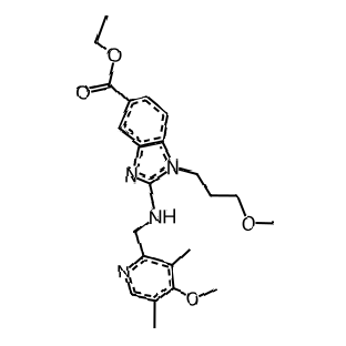 CCOC(=O)c1ccc2c(c1)nc(NCc1ncc(C)c(OC)c1C)n2CCCOC